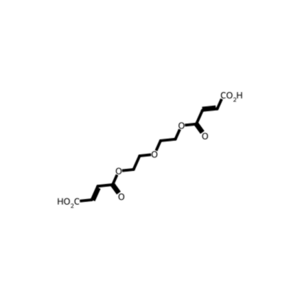 O=C(O)/C=C/C(=O)OCCOCCOC(=O)/C=C/C(=O)O